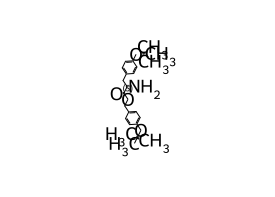 CC(C)(C)Oc1ccc(COC(=O)[C@@H](N)Cc2ccc(OC(C)(C)C)cc2)cc1